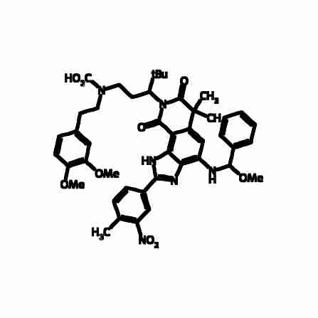 COc1ccc(CCN(CCC(N2C(=O)c3c(cc(NC(OC)c4ccccc4)c4nc(-c5ccc(C)c([N+](=O)[O-])c5)[nH]c34)C(C)(C)C2=O)C(C)(C)C)C(=O)O)cc1OC